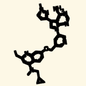 CCc1cc(N(C)CC2CC2)c2ccc(OCc3cncc(-n4cc(-c5ccn(C)n5)c5c(N)ncnc54)c3)cc2n1